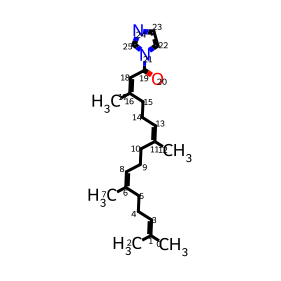 CC(C)=CCCC(C)=CCCC(C)=CCCC(C)=CC(=O)n1ccnc1